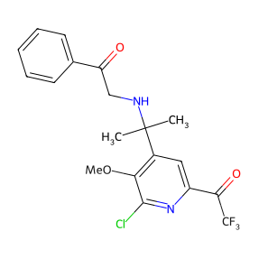 COc1c(C(C)(C)NCC(=O)c2ccccc2)cc(C(=O)C(F)(F)F)nc1Cl